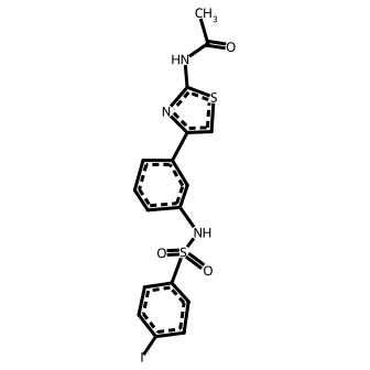 CC(=O)Nc1nc(-c2cccc(NS(=O)(=O)c3ccc(I)cc3)c2)cs1